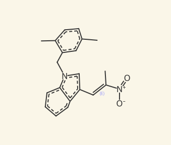 C/C(=C\c1cn(Cc2cc(C)ccc2C)c2ccccc12)[N+](=O)[O-]